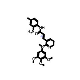 COc1cc(N(C)C2=NCCC=C2/C=C/C(=O)Nc2ccc(C)cc2N)cc(OC)c1OC